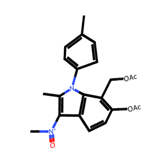 CC(=O)OCc1c(OC(C)=O)ccc2c([N+](C)=O)c(C)n(-c3ccc(C)cc3)c12